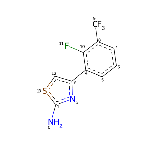 Nc1nc(-c2cccc(C(F)(F)F)c2F)cs1